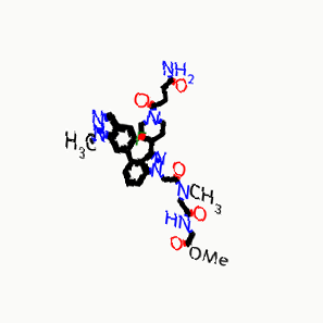 COC(=O)CNC(=O)CN(C)C(=O)Cn1nc(C2CCN(C(=O)CCC(N)=O)CC2)c2c(-c3cc4c(cnn4C)cc3F)cccc21